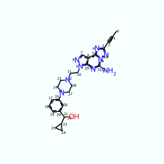 CC#Cc1nc2c3cnn(CCN4CCN(c5cccc(C(O)C6CC6)c5)CC4)c3nc(N)n2n1